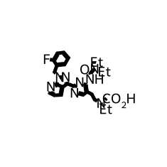 CCN(CCc1cnc(-c2nn(Cc3ccccc3F)c3ncccc23)nc1NC(=O)N(CC)CC)C(=O)O